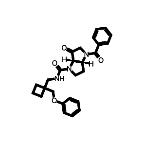 O=C1CN(C(=O)c2ccccc2)[C@@H]2CCN(C(=O)NCC3(COc4ccccc4)CCC3)[C@H]12